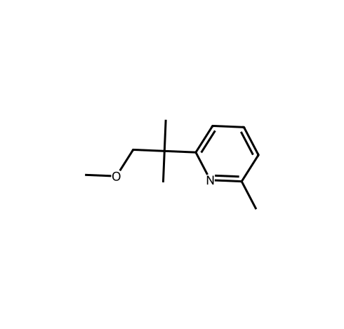 COCC(C)(C)c1cccc(C)n1